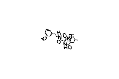 COc1cccc(CCNC(=O)c2[nH]c(=O)c(CC(C)C)[n+]([O-])c2OC)c1